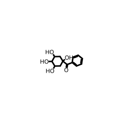 O=C(c1ccccc1)C1(O)CC(O)C(O)C(O)C1